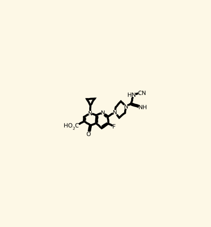 N#CNC(=N)N1CCN(c2nc3c(cc2F)c(=O)c(C(=O)O)cn3C2CC2)CC1